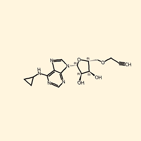 C#CCOC[C@H]1O[C@@H](n2cnc3c(NC4CC4)ncnc32)[C@H](O)[C@@H]1O